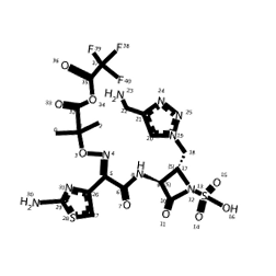 CC(C)(ON=C(C(=O)N[C@@H]1C(=O)N(S(=O)(=O)O)[C@H]1Cn1cc(CN)nn1)c1csc(N)n1)C(=O)OC(=O)C(F)(F)F